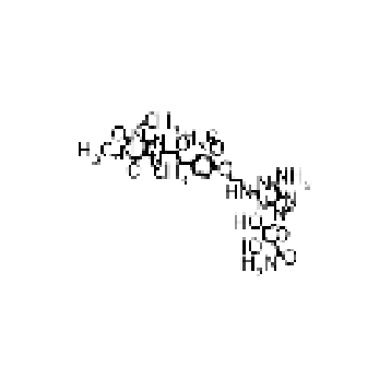 CCn1c(=O)c2c(nc(C(=O)Cc3ccc(OCCNc4nc(N)c5ncn([C@@H]6OC(C(N)=O)[C@@H](O)[C@H]6O)c5n4)c(OC)c3)n2C)n(CC)c1=O